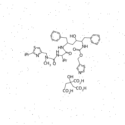 CC(C)c1nc(CN(C)C(=O)NC(C(=O)NC(Cc2ccccc2)CC(O)C(Cc2ccccc2)NC(=O)OCc2cncs2)C(C)C)cs1.O=C(O)CC(O)(CC(=O)O)C(=O)O